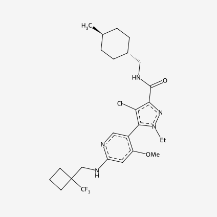 CCn1nc(C(=O)NC[C@H]2CC[C@H](C)CC2)c(Cl)c1-c1cnc(NCC2(C(F)(F)F)CCC2)cc1OC